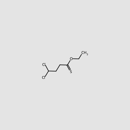 CCOC(=S)CCC(Cl)Cl